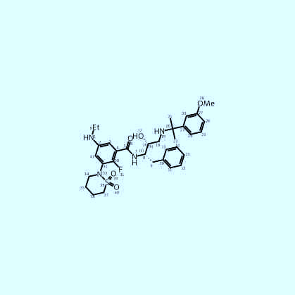 CCNc1cc(C(=O)N[C@@H](Cc2ccccc2)[C@H](O)CNC(C)(C)c2cccc(OC)c2)c(F)c(N2CCCCS2(=O)=O)c1